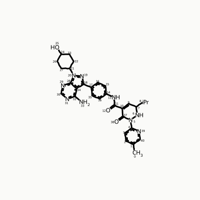 Cc1ccc(N2NC(C(C)C)C=C(C(=O)Nc3ccc(-c4nn(C5CCC(O)CC5)c5ncnc(N)c45)cc3)C2=O)nc1